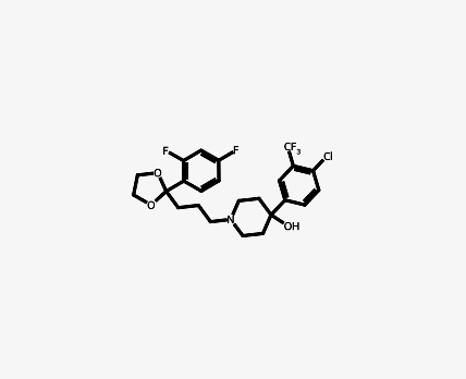 OC1(c2ccc(Cl)c(C(F)(F)F)c2)CCN(CCCC2(c3ccc(F)cc3F)OCCO2)CC1